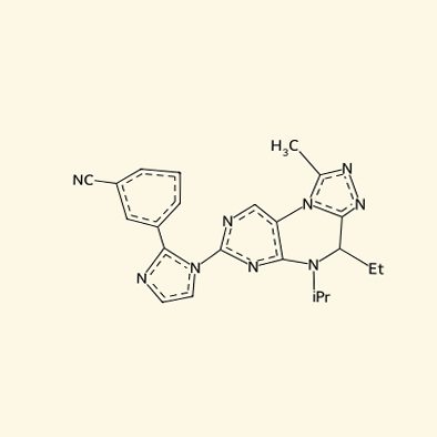 CCC1c2nnc(C)n2-c2cnc(-n3ccnc3-c3cccc(C#N)c3)nc2N1C(C)C